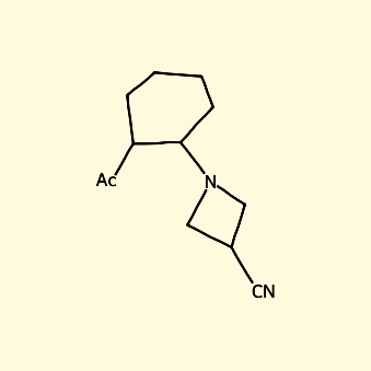 CC(=O)C1CCCCC1N1CC(C#N)C1